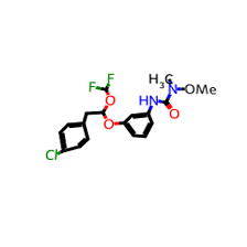 CON(C)C(=O)Nc1cccc(OC(Cc2ccc(Cl)cc2)OC(F)F)c1